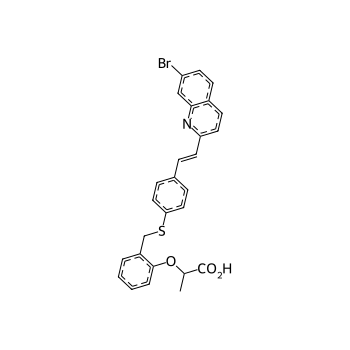 CC(Oc1ccccc1CSc1ccc(C=Cc2ccc3ccc(Br)cc3n2)cc1)C(=O)O